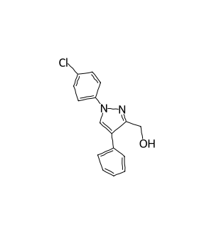 OCc1nn(-c2ccc(Cl)cc2)cc1-c1ccccc1